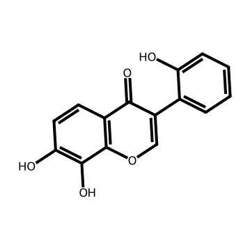 O=c1c(-c2ccccc2O)coc2c(O)c(O)ccc12